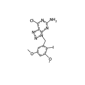 COc1cc(Cn2nnc3c(Cl)nc(N)nc32)c(I)c(OC)c1